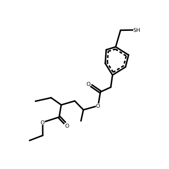 CCOC(=O)C(CC)CC(C)OC(=O)Cc1ccc(CS)cc1